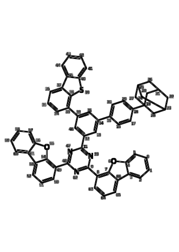 c1ccc2c(c1)oc1c(-c3nc(-c4cc(-c5ccc(C67CC8CC(CC(C8)C6)C7)cc5)cc(-c5cccc6c5sc5ccccc56)c4)nc(-c4cccc5c4oc4ccccc45)n3)cccc12